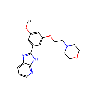 CC(C)Oc1cc(OCCN2CCOCC2)cc(-c2nc3cccnc3[nH]2)c1